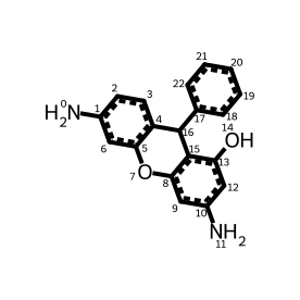 Nc1ccc2c(c1)Oc1cc(N)cc(O)c1C2c1ccccc1